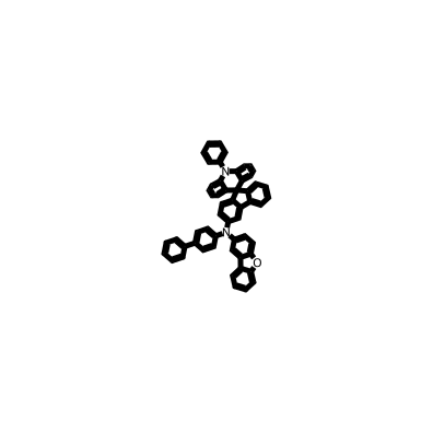 c1ccc(-c2ccc(N(c3ccc4c(c3)-c3ccccc3C43c4ccccc4N(c4ccccc4)c4ccccc43)c3ccc4oc5ccccc5c4c3)cc2)cc1